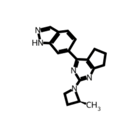 C[C@H]1CCN1c1nc2c(c(-c3ccc4cn[nH]c4c3)n1)CCC2